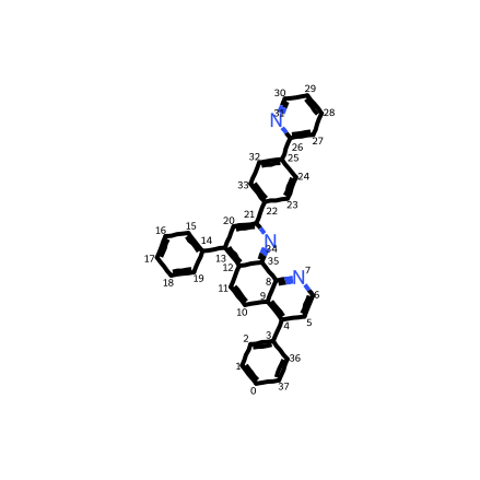 c1ccc(-c2ccnc3c2ccc2c(-c4ccccc4)cc(-c4ccc(-c5ccccn5)cc4)nc23)cc1